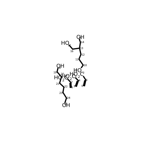 C=CC(=O)O.C=CC(=O)O.C=CC(=O)O.OCCCC(CO)CO.OCCCCCCO